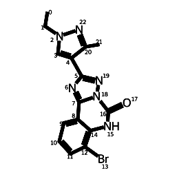 CCn1cc(-c2nc3c4cccc(Br)c4[nH]c(=O)n3n2)c(C)n1